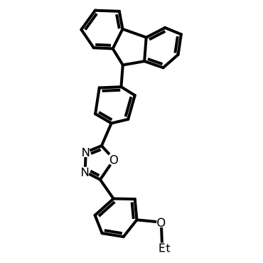 CCOc1cccc(-c2nnc(-c3ccc(C4c5ccccc5-c5ccccc54)cc3)o2)c1